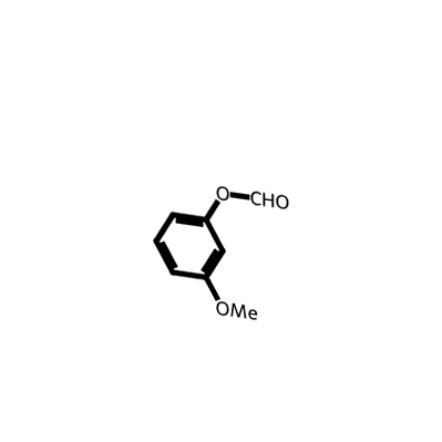 COc1cccc(OC=O)c1